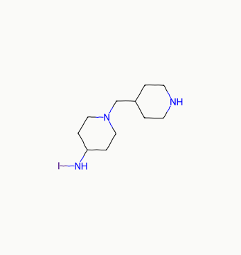 INC1CCN(CC2CCNCC2)CC1